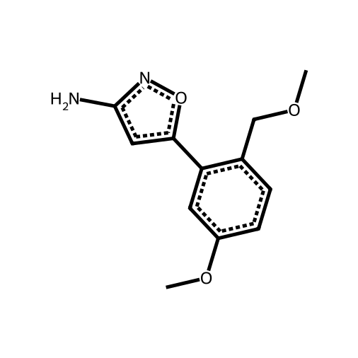 COCc1ccc(OC)cc1-c1cc(N)no1